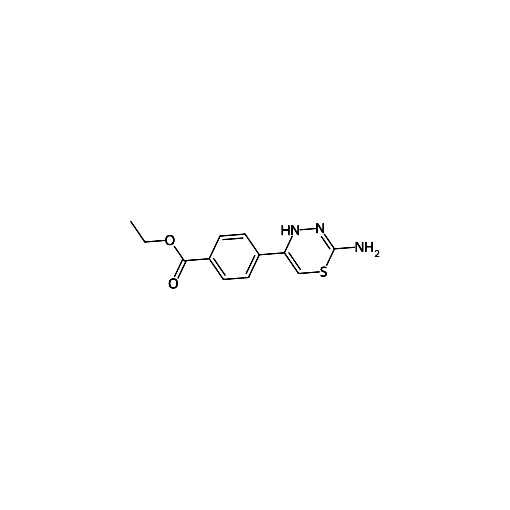 CCOC(=O)c1ccc(C2=CSC(N)=NN2)cc1